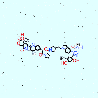 CCNC(=O)c1nnc(-c2cc(C(C)C)c(O)cc2O)n1-c1ccc2c(ccn2CCC2CCN(C(=O)[C@@H]3CCCN3C(=O)Cc3ccc4nc5c(c(CC)c4c3)Cn3c-5cc4c(c3=O)COC(=O)[C@]4(O)CC)CC2)c1